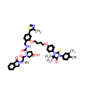 Cc1ncsc1-c1ccc(CNC(=O)[C@@H]2C[C@@H](O)CN2C(=O)[C@H](C(C)C)N2Cc3ccccc3C2=O)c(OCCCCOc2ccc(N3C(=S)N(c4ccc(C#N)c(C(F)(F)F)c4)C(=O)C3(C)C)cc2)c1